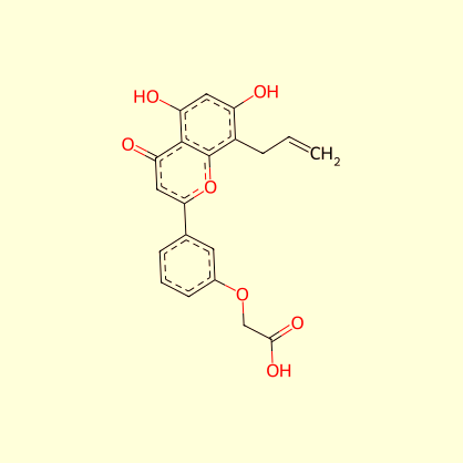 C=CCc1c(O)cc(O)c2c(=O)cc(-c3cccc(OCC(=O)O)c3)oc12